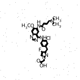 COc1cc2ncnc(Nc3ccc(Cc4nn(CC(=O)O)cc4F)cc3Cl)c2cc1NC(=O)/C=C/CN(C)C